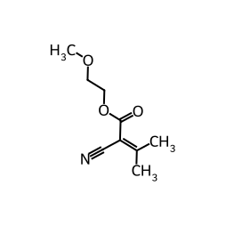 COCCOC(=O)C(C#N)=C(C)C